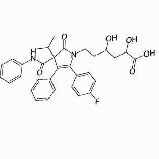 CC(C)C1(C(=O)Nc2ccccc2)C(=O)N(CCC(O)CC(O)C(=O)O)C(c2ccc(F)cc2)=C1c1ccccc1